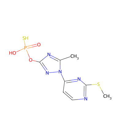 CSc1nccc(-n2nc(OP(=O)(O)S)nc2C)n1